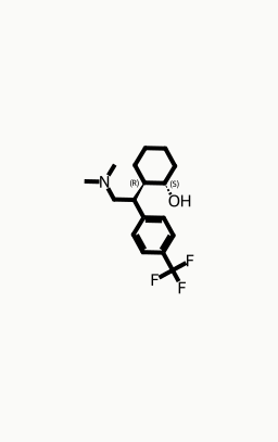 CN(C)CC(c1ccc(C(F)(F)F)cc1)[C@H]1CCCC[C@@H]1O